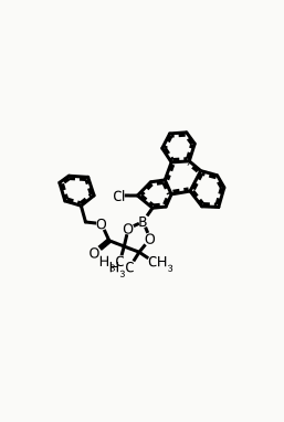 CC1(C)OB(c2cc3c4ccccc4c4ccccc4c3cc2Cl)OC1(C)C(=O)OCc1ccccc1